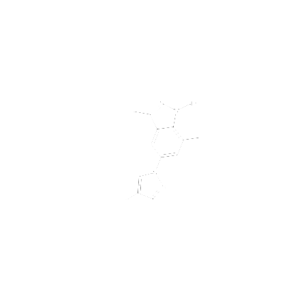 CCOC(=O)c1cnn(-c2cc(F)c3c(c2)c(I)nn3C(C)C)c1